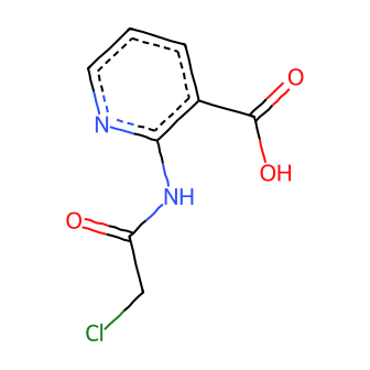 O=C(CCl)Nc1ncccc1C(=O)O